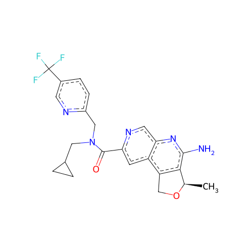 C[C@H]1OCc2c1c(N)nc1cnc(C(=O)N(Cc3ccc(C(F)(F)F)cn3)CC3CC3)cc21